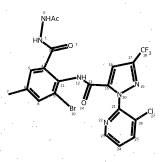 CC(=O)NNC(=O)c1cc(C)cc(Br)c1NC(=O)c1cc(C(F)(F)F)nn1-c1ncccc1Cl